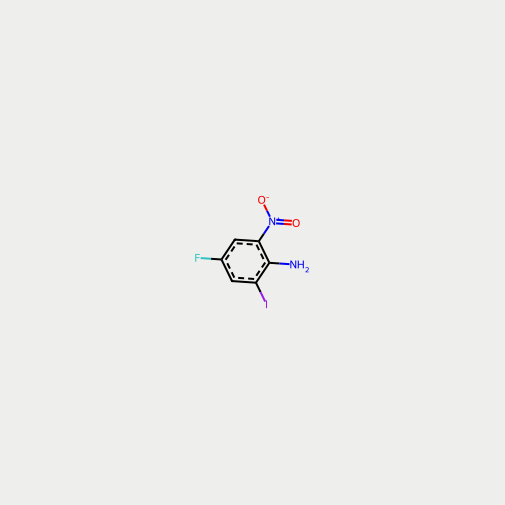 Nc1c(I)cc(F)cc1[N+](=O)[O-]